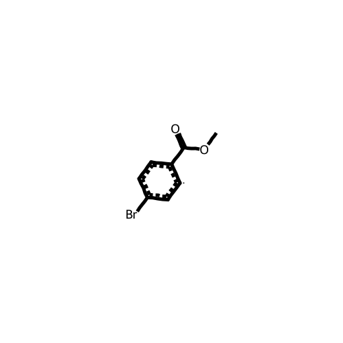 COC(=O)c1[c]cc(Br)cc1